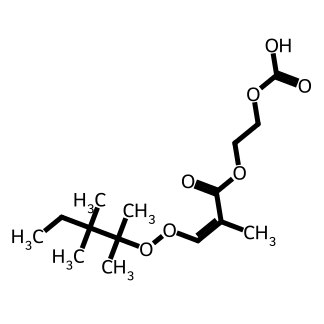 CCC(C)(C)C(C)(C)OOC=C(C)C(=O)OCCOC(=O)O